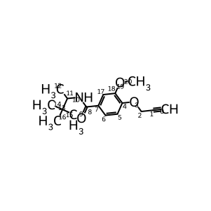 C#CCOc1ccc(C(=O)NC(C)C(C)(C)C)cc1OC